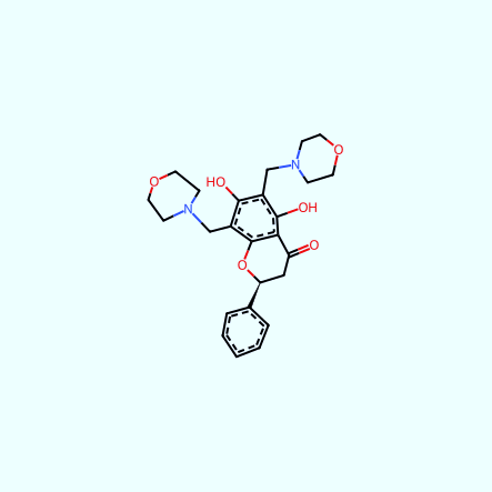 O=C1C[C@@H](c2ccccc2)Oc2c(CN3CCOCC3)c(O)c(CN3CCOCC3)c(O)c21